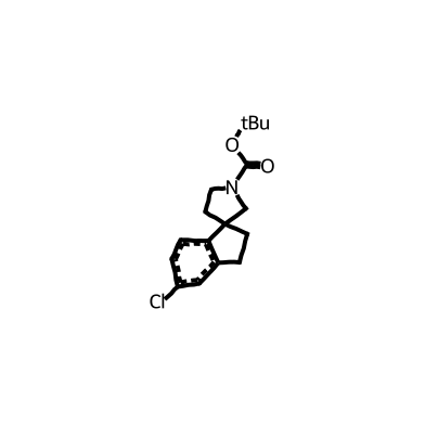 CC(C)(C)OC(=O)N1CCC2(CCc3cc(Cl)ccc32)C1